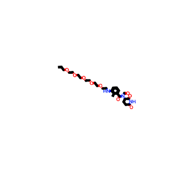 CCCOCCOCCOCCOCCOCCNc1cccc(C(=O)N(C=O)C2CCC(=O)NC2=O)c1C